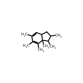 CC1=CC2[C]C(C)C(C)C2(C)C(C)=C1C